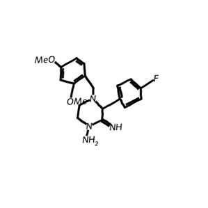 COc1ccc(CN2CCN(N)C(=N)C2c2ccc(F)cc2)c(OC)c1